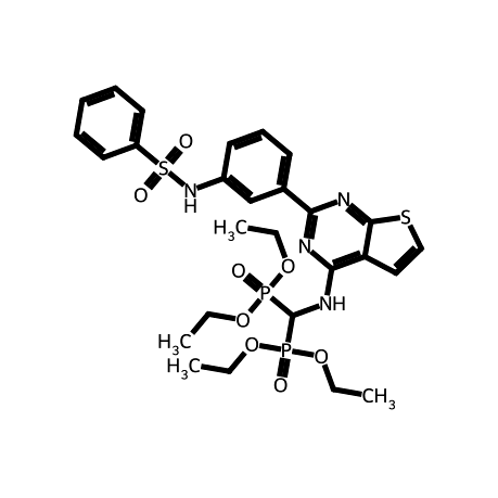 CCOP(=O)(OCC)C(Nc1nc(-c2cccc(NS(=O)(=O)c3ccccc3)c2)nc2sccc12)P(=O)(OCC)OCC